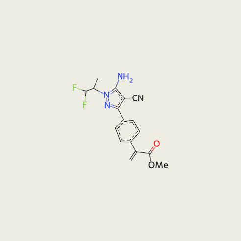 C=C(C(=O)OC)c1ccc(-c2nn(C(C)C(F)F)c(N)c2C#N)cc1